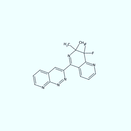 CC1(C)N=C(c2cc3cccnc3nn2)c2cccnc2C1(F)F